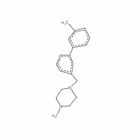 Cc1cccc(-c2cccc(CN3CCN(C)CC3)c2)c1